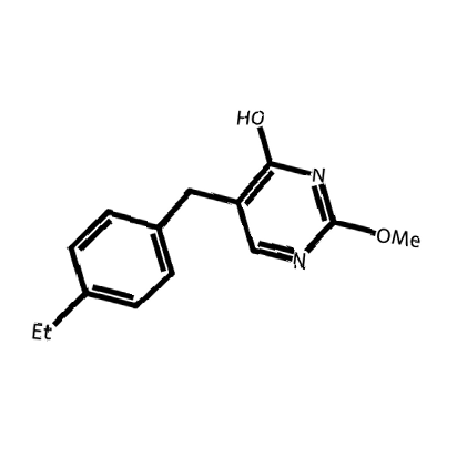 CCc1ccc(Cc2cnc(OC)nc2O)cc1